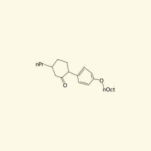 CCCCCCCCOc1ccc(C2CCC(CCC)CC2=O)cc1